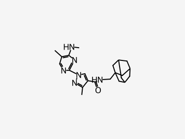 CNc1nc(-n2cc(C(=O)NCC34CC5CC(CC(C5)C3)C4)c(C)n2)ncc1C